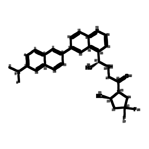 CN(C)c1ccc2cc(-c3ccc4nccc([C@@H](O)NCC(=O)N5CC(F)(F)C[C@H]5C#N)c4c3)ccc2c1